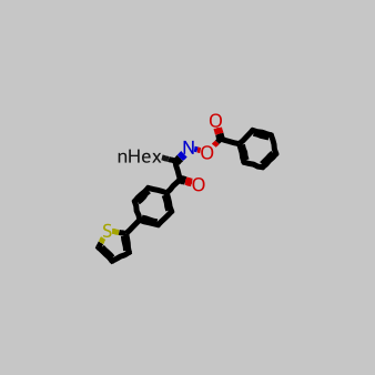 CCCCCCC(=NOC(=O)c1ccccc1)C(=O)c1ccc(-c2cccs2)cc1